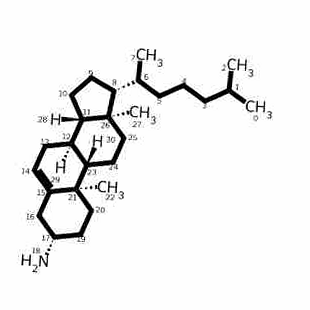 CC(C)CCCC(C)[C@H]1CC[C@H]2[C@@H]3CC=C4C[C@@H](N)CC[C@]4(C)[C@H]3CC[C@]12C